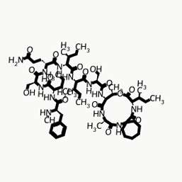 CC[C@H](C)[C@H](NC(=O)[C@@H](Cc1ccccc1)NC)C(=O)N[C@@H](CO)C(=O)N[C@H](CCC(N)=O)C(=O)N[C@@H](C(=O)N[C@H](C(=O)N[C@@H](CO)C(=O)N[C@H]1C(=O)N[C@@H](C)C(=O)NC2(CCCCCC2)C(=O)N[C@@H]([C@@H](C)CC)C(=O)O[C@H]1C)[C@@H](C)CC)[C@@H](C)CC